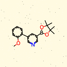 COc1ccccc1-c1cncc(B2OC(C)(C)C(C)(C)O2)c1